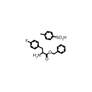 Cc1ccc(S(=O)(=O)O)cc1.NC(Cc1ccc(F)cc1)C(=O)OCc1ccccc1